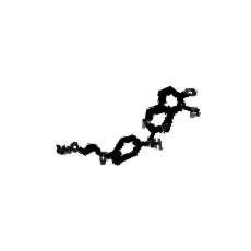 CCn1c(=O)ccc2cnc(Nc3ccc(OCCOC)cc3)nc21